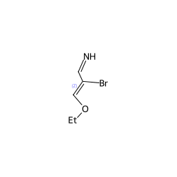 CCO/C=C(\Br)C=N